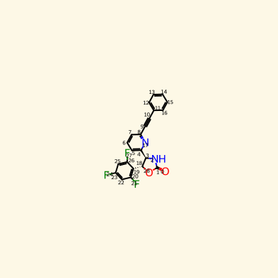 O=C1N[C@H](c2cccc(C#Cc3ccccc3)n2)[C@@H](c2c(F)cc(F)cc2F)O1